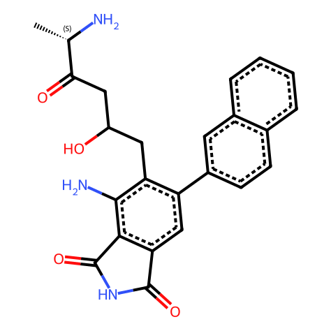 C[C@H](N)C(=O)CC(O)Cc1c(-c2ccc3ccccc3c2)cc2c(c1N)C(=O)NC2=O